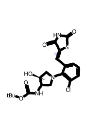 CC(C)(C)OC(=O)NC1CN(c2c(Cl)cccc2/C=C2\SC(=O)NC2=O)C[C@@H]1O